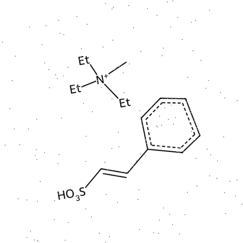 CC[N+](C)(CC)CC.O=S(=O)(O)C=Cc1ccccc1